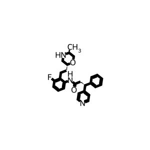 C[C@H]1CO[C@H](CCc2c(F)cccc2NC(=O)C[C@H](c2ccccc2)c2ccncc2)CN1